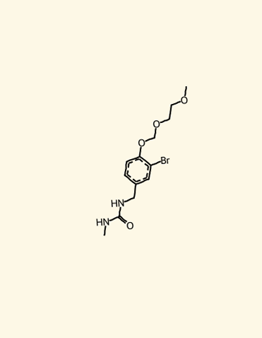 CNC(=O)NCc1ccc(OCOCCOC)c(Br)c1